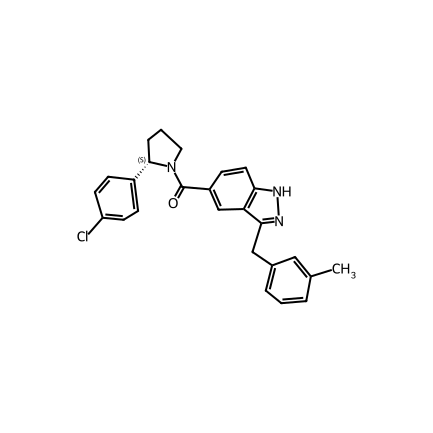 Cc1cccc(Cc2n[nH]c3ccc(C(=O)N4CCC[C@H]4c4ccc(Cl)cc4)cc23)c1